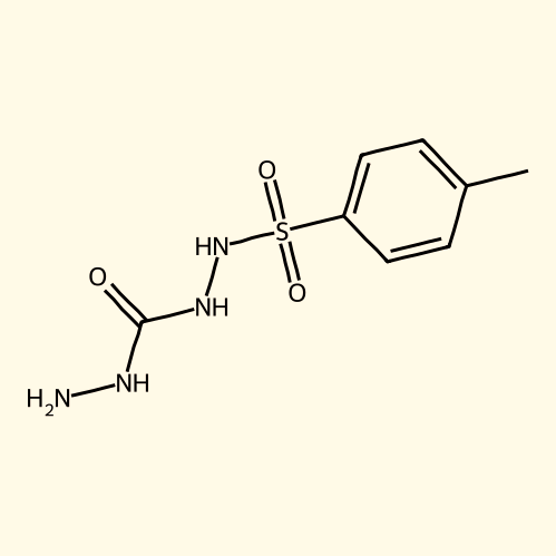 Cc1ccc(S(=O)(=O)NNC(=O)NN)cc1